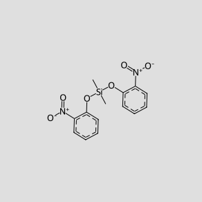 C[Si](C)(Oc1ccccc1[N+](=O)[O-])Oc1ccccc1[N+](=O)[O-]